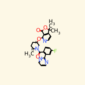 C[C@@H]1CC[C@@H](Oc2nccc3c2C(=O)OC3(C)C)CN1C(=O)c1ccc(F)cc1-c1ncccn1